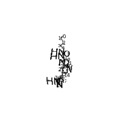 CCCCCNC(=O)Nc1ccc2ncc(-c3cn[nH]c3)cc2n1